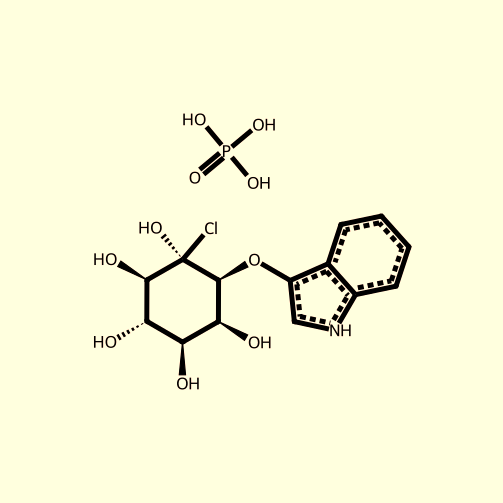 O=P(O)(O)O.O[C@H]1[C@H](O)[C@@H](O)[C@@](O)(Cl)[C@@H](Oc2c[nH]c3ccccc23)[C@H]1O